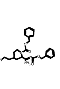 NCCC1CCN(C(=O)OCc2ccccc2)C(C(N)=NC(=O)OCc2ccccc2)C1